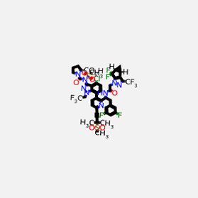 CC(C)(C#Cc1ccc(-c2ccc(Cl)c3c(N(C(=O)N4CCC[C@H]4C(=O)O)S(C)(=O)=O)nn(CC(F)(F)F)c23)c(C(Cc2cc(F)cc(F)c2)NC(=O)Cn2nc(C(F)(F)F)c3c2C(F)(F)[C@@H]2C[C@H]32)n1)S(C)(=O)=O